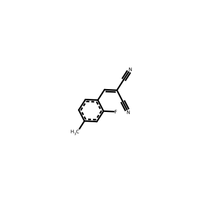 Cc1ccc(C=C(C#N)C#N)c(F)c1